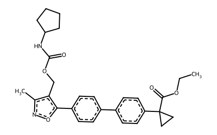 CCOC(=O)C1(c2ccc(-c3ccc(-c4onc(C)c4COC(=O)NC4CCCC4)cc3)cc2)CC1